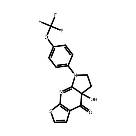 O=C1c2ccsc2N=C2N(c3ccc(OC(F)(F)F)cc3)CCC12O